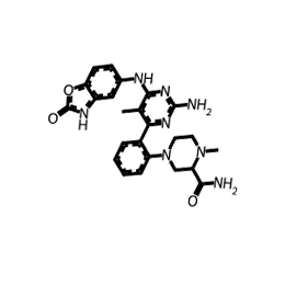 Cc1c(Nc2ccc3oc(=O)[nH]c3c2)nc(N)nc1-c1ccccc1N1CCN(C)C(C(N)=O)C1